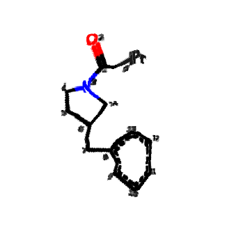 CC(C)C(=O)N1CCC(Cc2ccccc2)C1